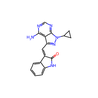 Nc1ncnc2c1c(C=C1C(=O)Nc3ccccc31)nn2C1CC1